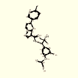 Cc1ccc(-c2ccn3ncc(C(=O)NC(c4ccc(OC(F)F)c(F)c4)C(C)(C)O)c3n2)cn1